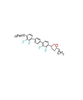 C=CC1CCC(c2ccc(-c3ccc(-c4ccc(CCCCC)c(F)c4F)cc3)c(F)c2F)CO1